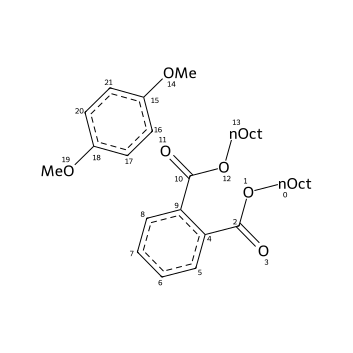 CCCCCCCCOC(=O)c1ccccc1C(=O)OCCCCCCCC.COc1ccc(OC)cc1